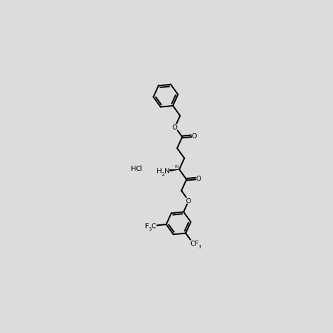 Cl.N[C@@H](CCC(=O)OCc1ccccc1)C(=O)COc1cc(C(F)(F)F)cc(C(F)(F)F)c1